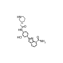 Cl.NC(=O)c1cccc2cn(-c3ccc(NC(=O)C[C@H]4CCCNC4)cc3)nc12